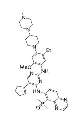 CCc1cc(Nc2ncc(C3=CCCC3)c(Nc3ccc4nccnc4c3P(C)(C)=O)n2)c(OC)cc1N1CCC(N2CCN(C)CC2)CC1